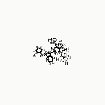 CC(C)(O)CCc1nc(-c2nn(Cc3ccccc3F)c3ncccc23)nc2c1C(C)(C)C(=O)N2CO